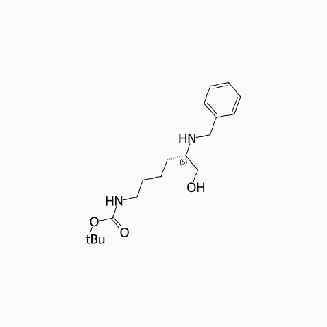 CC(C)(C)OC(=O)NCCCC[C@@H](CO)NCc1ccccc1